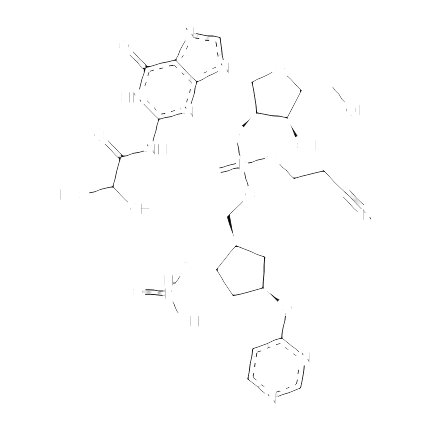 CC(C)C(=O)Nc1nc2c(ncn2[C@@H]2O[C@H](CO)[C@@H](C)[C@H]2OP(=O)(OCCC#N)OC[C@H]2C[C@@H](Oc3ccncn3)C[C@@H]2O[PH](=O)O)c(=O)[nH]1